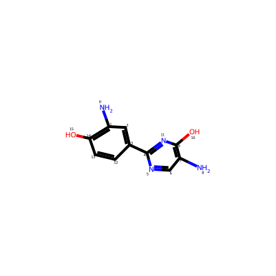 Nc1cc(-c2ncc(N)c(O)n2)ccc1O